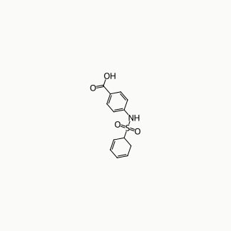 O=C(O)c1ccc(NS(=O)(=O)C2C=CC=CC2)cc1